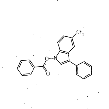 O=C(On1cc(-c2ccccc2)c2cc(C(F)(F)F)ccc21)c1ccccc1